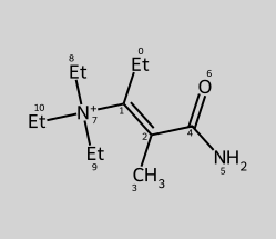 CC/C(=C(/C)C(N)=O)[N+](CC)(CC)CC